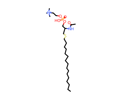 CCCCCCCCCCCCCCCCSCC(COP(=O)(O)OCC[N+](C)(C)C)NC(C)=O